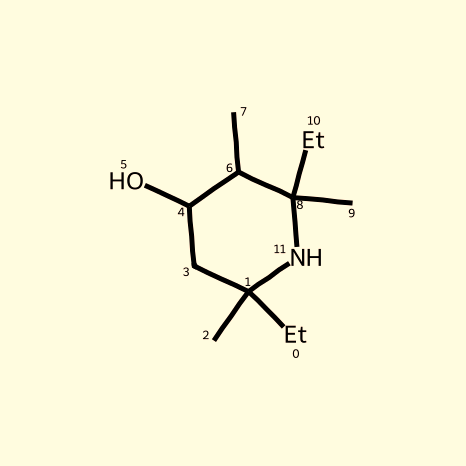 CCC1(C)CC(O)C(C)C(C)(CC)N1